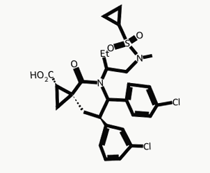 CCC(CN(C)S(=O)(=O)C1CC1)N1C(=O)[C@@]2(C[C@H](c3cccc(Cl)c3)C1c1ccc(Cl)cc1)C[C@@H]2C(=O)O